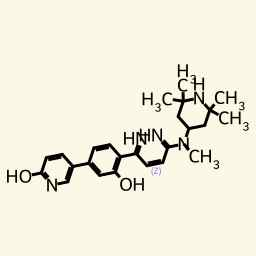 CN(C(=N)/C=C\C(=N)c1ccc(-c2ccc(O)nc2)cc1O)C1CC(C)(C)NC(C)(C)C1